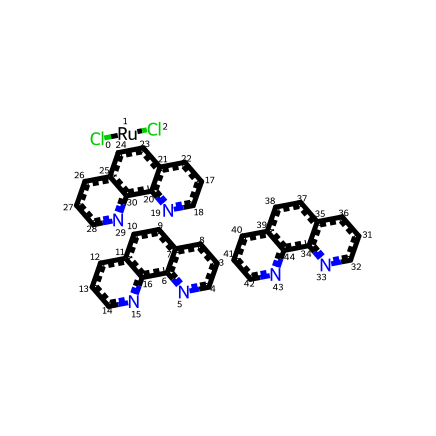 [Cl][Ru][Cl].c1cnc2c(c1)ccc1cccnc12.c1cnc2c(c1)ccc1cccnc12.c1cnc2c(c1)ccc1cccnc12